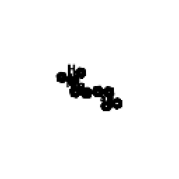 C1=Cc2c(n(-c3cccc4c3sc3cc(-c5ccc6c(c5)oc5c(C7=NC(c8ccccc8)NC(c8ccccc8)=N7)cccc56)ccc34)c3ccccc23)CC1